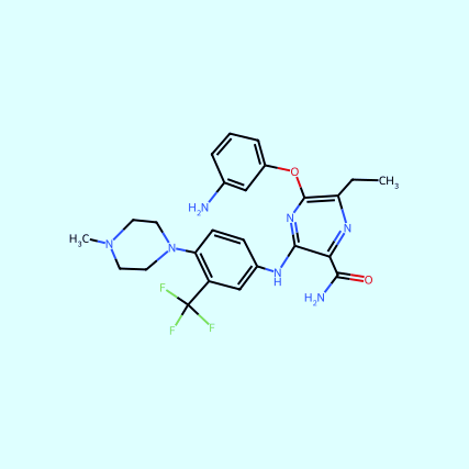 CCc1nc(C(N)=O)c(Nc2ccc(N3CCN(C)CC3)c(C(F)(F)F)c2)nc1Oc1cccc(N)c1